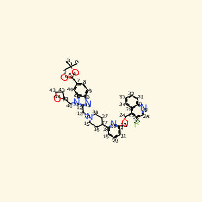 CC(C)(C)OC(=O)c1ccc2nc(CN3CCC(c4cccc(OCc5c(F)cnc6ccccc56)n4)CC3)n(C[C@@H]3CCO3)c2c1